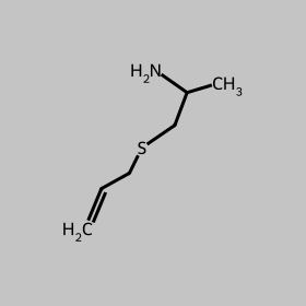 C=CCSCC(C)N